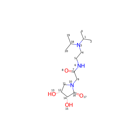 CC(C)N(CCNC(=O)CN1C[C@@H](O)[C@@H](O)C1=O)C(C)C